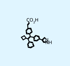 O=C(O)C=Cc1ccc(C(=C(c2ccccc2)C2CCC2)c2ccc(-c3cn[nH]c3)cc2)cc1